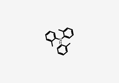 Cc1ccccc1[SiH](c1ccccc1C)c1ccccc1C